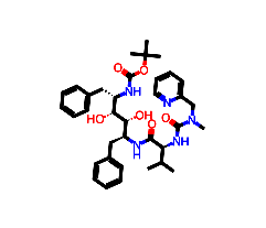 CC(C)[C@H](NC(=O)N(C)Cc1ccccn1)C(=O)N[C@@H](Cc1ccccc1)[C@@H](O)[C@H](O)[C@H](Cc1ccccc1)NC(=O)OC(C)(C)C